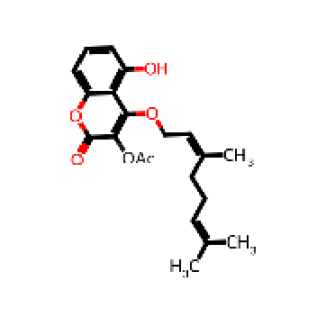 CC(=O)Oc1c(OCC=C(C)CCC=C(C)C)c2c(O)cccc2oc1=O